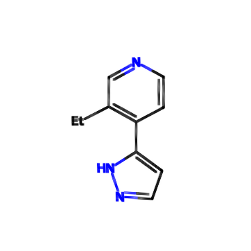 CCc1cnccc1-c1ccn[nH]1